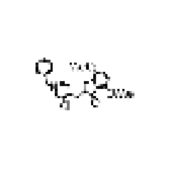 COc1ccc(OC)c2c1CC(Cc1cc[n+](Cc3ccccc3)cc1)C2=O.[Cl-]